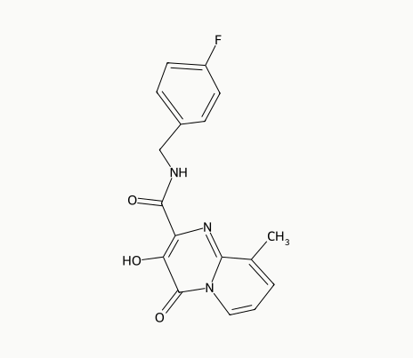 Cc1cccn2c(=O)c(O)c(C(=O)NCc3ccc(F)cc3)nc12